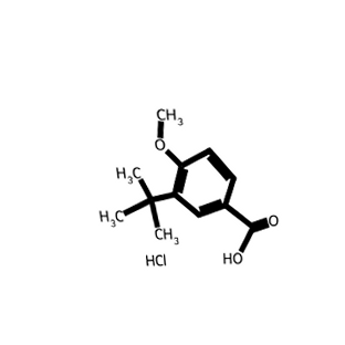 COc1ccc(C(=O)O)cc1C(C)(C)C.Cl